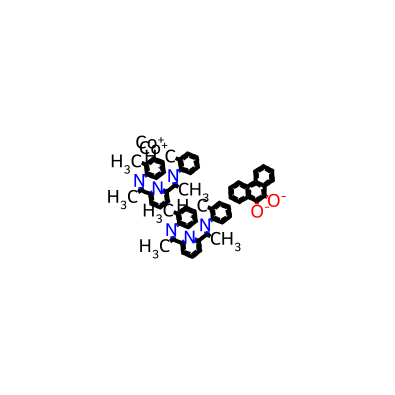 CC(=Nc1ccccc1C)c1cccc(C(C)=Nc2ccccc2C)n1.CC(=Nc1ccccc1C)c1cccc(C(C)=Nc2ccccc2C)n1.[Co+].[Co+].[O-]c1c([O-])c2ccccc2c2ccccc12